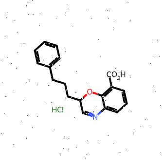 Cl.O=C(O)c1cccc2c1OC(CCCc1ccccc1)C=N2